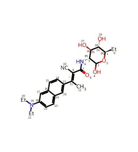 CC[C@H]1OC(O)[C@H](NC(=O)/C(C#N)=C(\C)c2ccc3cc(N(CC)CC)ccc3c2)[C@@H](O)[C@@H]1O